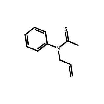 C=CCN(C(C)=S)c1ccccc1